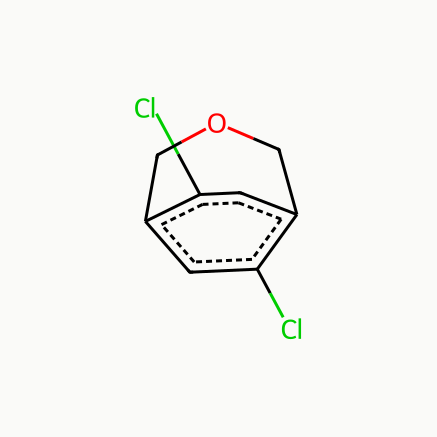 Clc1cc2c(Cl)cc1COC2